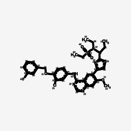 CCC(c1nc(-c2cc3c(Nc4ccc(OCc5cccc(F)c5)c(Cl)c4)ncnc3cc2OC)cs1)N(CC)S(=O)(=O)CC